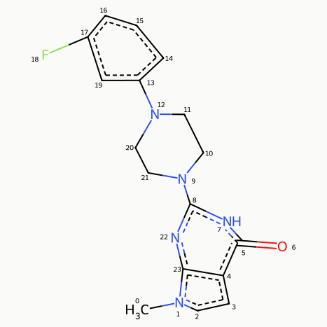 Cn1ccc2c(=O)[nH]c(N3CCN(c4cccc(F)c4)CC3)nc21